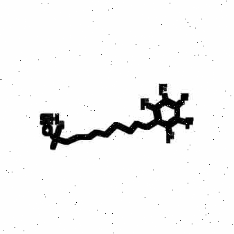 CC(C)(CCCCCCCCCc1c(F)c(F)c(F)c(F)c1F)O[SiH3]